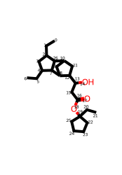 CCC1CC(CC)C2C3CC(CC3C(O)CC(=O)OC3(CC)CCCC3)C12